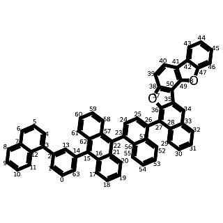 c1cc(-c2cccc3ccccc23)cc(-c2c3ccccc3c(-c3ccc(-c4c5ccccc5cc5c4oc4ccc6c7ccccc7oc6c45)c4ccccc34)c3ccccc23)c1